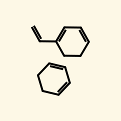 C1=CCCC=C1.C=CC1=CC=CCC1